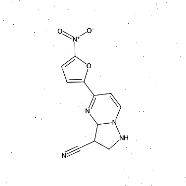 N#CC1CNN2C=CC(c3ccc([N+](=O)[O-])o3)=NC12